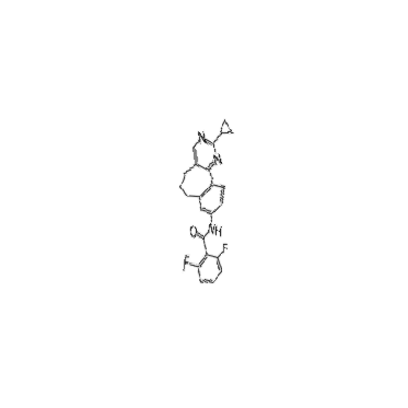 O=C(Nc1ccc2c(c1)CCCc1cnc(C3CC3)nc1-2)c1c(F)cccc1F